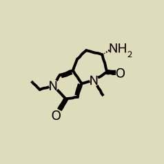 CCn1cc2c(cc1=O)N(C)C(=O)[C@@H](N)CC2